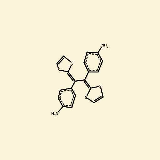 Nc1ccc(C(=C2SC=CS2)C(=C2SC=CS2)c2ccc(N)cc2)cc1